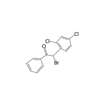 O=C(c1ccccc1)C(Br)c1ccc(Cl)cc1Cl